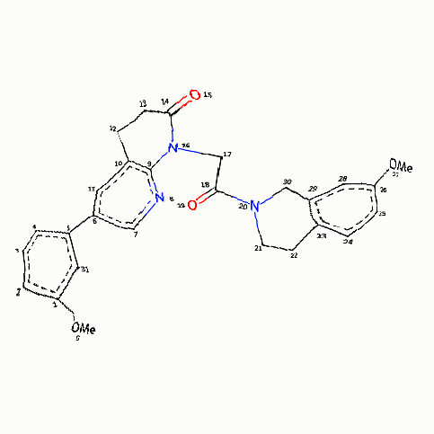 COc1cccc(-c2cnc3c(c2)CCC(=O)N3CC(=O)N2CCc3ccc(OC)cc3C2)c1